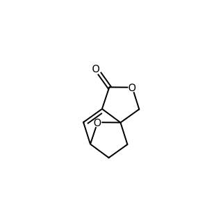 O=C1OCC23CCC(C=C12)O3